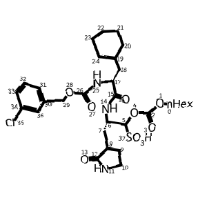 CCCCCCOC(=O)OC([C@H](CC1CCNC1=O)NC(=O)[C@H](CC1CCCCC1)NC(=O)OCc1cccc(Cl)c1)S(=O)(=O)O